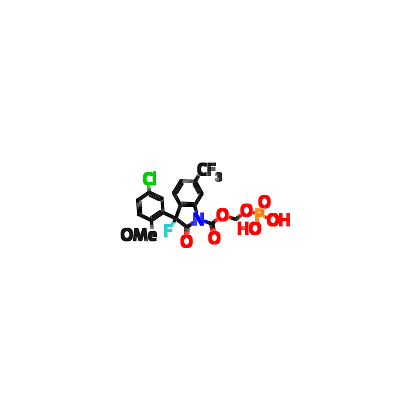 COc1ccc(Cl)cc1C1(F)C(=O)N(C(=O)OCOP(=O)(O)O)c2cc(C(F)(F)F)ccc21